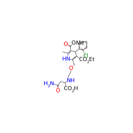 CCOC(=O)C1=C(COCCNC(CC(N)=O)C(=O)O)NC(C)=C(C(=O)OC)C1c1ccccc1Cl